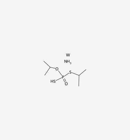 CC(C)OP(=O)(S)SC(C)C.N.[W]